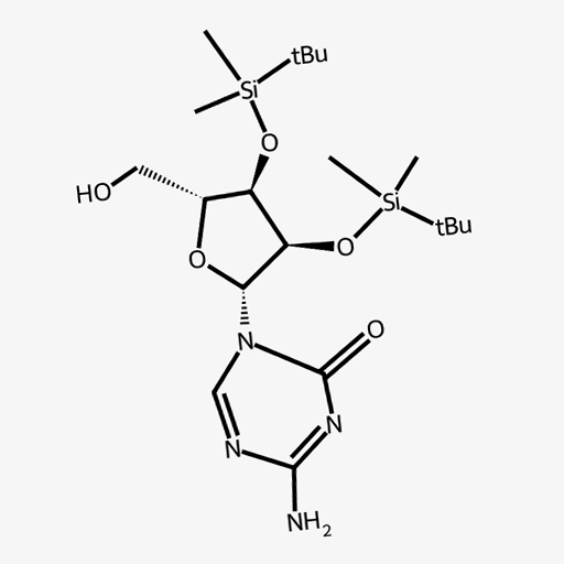 CC(C)(C)[Si](C)(C)O[C@@H]1[C@H](O[Si](C)(C)C(C)(C)C)[C@@H](CO)O[C@H]1n1cnc(N)nc1=O